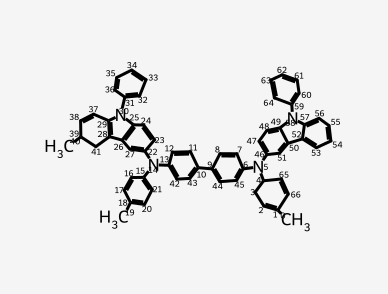 CC1=CCC(N(c2ccc(-c3ccc(N(c4ccc(C)cc4)c4ccc5c(c4)c4c(n5-c5ccccc5)C=CC(C)C4)cc3)cc2)c2ccc3c(c2)c2ccccc2n3-c2ccccc2)C=C1